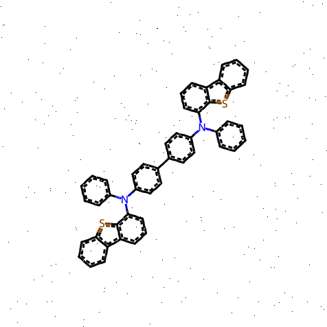 c1ccc(N(c2ccc(-c3ccc(N(c4ccccc4)c4cccc5c4sc4ccccc45)cc3)cc2)c2cccc3c2sc2ccccc23)cc1